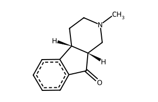 CN1CC[C@H]2c3ccccc3C(=O)[C@H]2C1